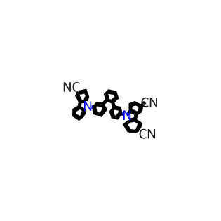 N#CC1=Cc2c(n(-c3cccc(-c4ccccc4-c4cccc(-n5c6ccccc6c6cc(C#N)ccc65)c4)c3)c3ccc(C#N)cc23)C=CC1